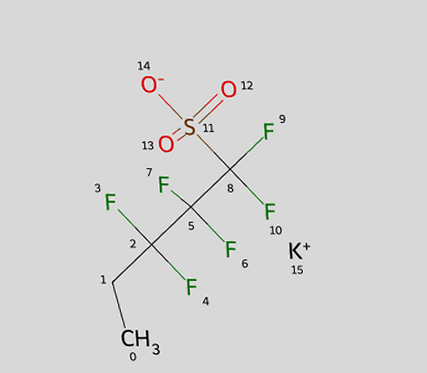 CCC(F)(F)C(F)(F)C(F)(F)S(=O)(=O)[O-].[K+]